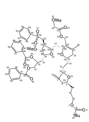 C=C1C[C@H](CCCOC(=O)C(C)(C)C)O[C@H]1CC[C@H]1CC(C)=C(COC(=O)COC)[C@@H](C[C@@H]2O[C@H](CC(COC(=O)c3ccccc3)OC(=O)c3ccccc3)[C@H](OC)[C@H]2CS(=O)(=O)c2ccccc2)O1